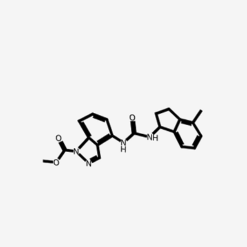 COC(=O)n1ncc2c(NC(=O)NC3CCc4c(C)cccc43)cccc21